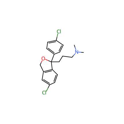 CN(C)CCCC1(c2ccc(Cl)cc2)OCc2cc(Cl)ccc21